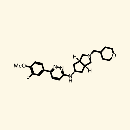 COc1ccc(-c2ccc(N[C@H]3C[C@@H]4CN(CC5CCOCC5)C[C@@H]4C3)nn2)cc1F